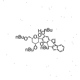 CCCCOC[C@@H]1C[C@H](OCCCC)[C@@H](OCCCC)C(O)(c2cc(Cc3cc4ccccc4s3)c(Cl)cc2OCCCC)O1